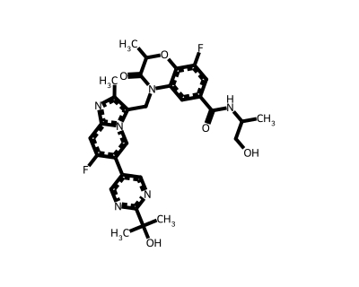 Cc1nc2cc(F)c(-c3cnc(C(C)(C)O)nc3)cn2c1CN1C(=O)C(C)Oc2c(F)cc(C(=O)NC(C)CO)cc21